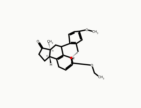 CCOC1=CC2=CCC3=C4C(C[C@]5(C)C(=O)CC[C@@H]35)c3ccc(OC)cc3C[C@]24CC1